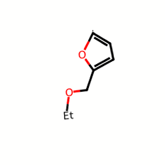 CCOCc1cc[c]o1